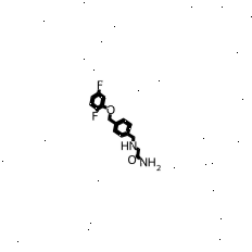 NC(=O)CNCc1ccc(COc2cc(F)ccc2F)cc1